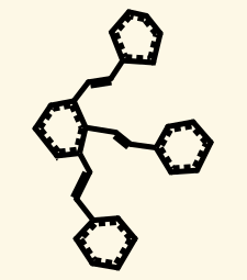 [c]1ccc(C=Cc2ccccc2)c(C=Cc2ccccc2)c1C=Cc1ccccc1